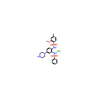 COc1cc(C)ccc1S(=O)(=O)Nc1ccc(N2CCNCC2)cc1NS(=O)(=O)c1ccccc1.Cl